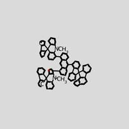 CN1c2ccccc2C2(c3ccccc3-c3ccccc32)c2cccc(-c3cccc4c(-c5cccc6c5-c5ccccc5C65c6ccccc6-c6ccc7ccccc7c65)c5cccc(-c6cccc7c6N(C)c6ccccc6C76c7ccccc7-c7ccccc76)c5cc34)c21